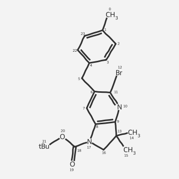 Cc1ccc(Cc2cc3c(nc2Br)C(C)(C)CN3C(=O)OC(C)(C)C)cc1